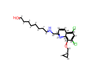 OCCCCCCCCNCc1ccc2c(Cl)cc(Cl)c(OCC3CC3)c2n1